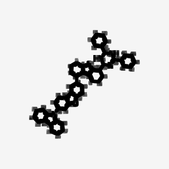 C1=c2c(sc3cccc(-c4ccc5oc6cc(-n7c8ccccc8c8ccccc87)ccc6c5c4)c23)=C(C2N=C(c3ccccc3)NC(c3ccccc3)N2)CC1